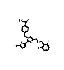 O=C(O)c1ccc(Cn2cc(COCc3c(F)cccc3F)nc2-c2ccc(Cl)s2)cc1